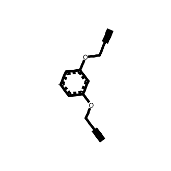 C#CCOc1c[c]cc(OCC#C)c1